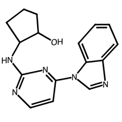 OC1CCCC1Nc1nccc(-n2cnc3ccccc32)n1